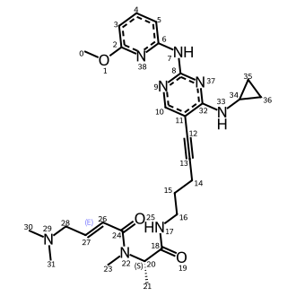 COc1cccc(Nc2ncc(C#CCCCNC(=O)[C@H](C)N(C)C(=O)/C=C/CN(C)C)c(NC3CC3)n2)n1